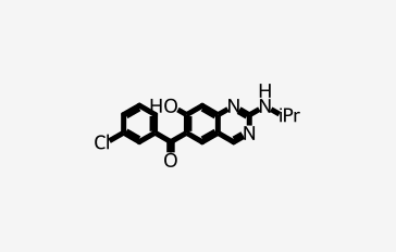 CC(C)Nc1ncc2cc(C(=O)c3cccc(Cl)c3)c(O)cc2n1